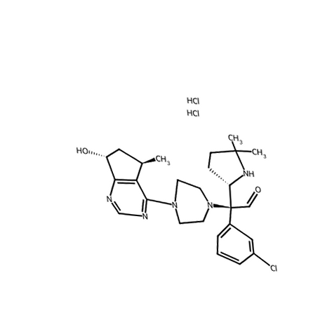 C[C@@H]1C[C@@H](O)c2ncnc(N3CCN([C@@](C=O)(c4cccc(Cl)c4)[C@@H]4CCC(C)(C)N4)CC3)c21.Cl.Cl